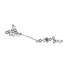 Cc1c(-c2cc(C(=O)O)c3c(OCCCCCCCCCCCCCCCCCOc4ccc(C5CCN(S(=O)(=O)c6ccc(C(=O)NCC(=O)O)cc6)CC5)cc4)ccc(C)c3n2)oc2ccccc12